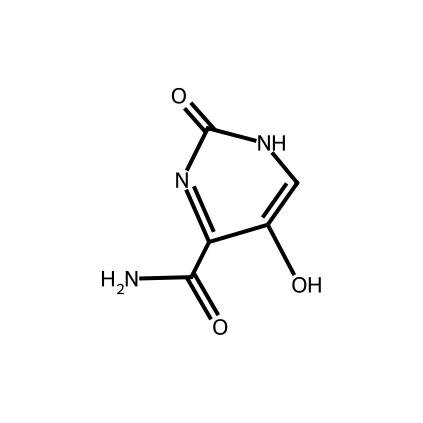 NC(=O)c1nc(=O)[nH]cc1O